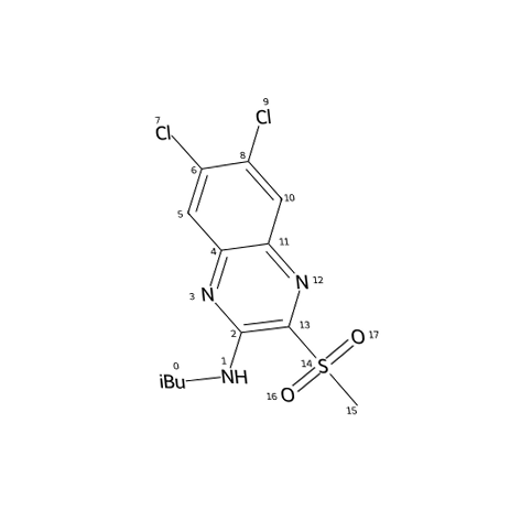 CCC(C)Nc1nc2cc(Cl)c(Cl)cc2nc1S(C)(=O)=O